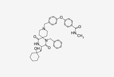 CNC(=O)c1ccc(Oc2ccc(CN3CCC4(CC3)C(=O)N[C@H](CC3(O)CCCCC3)C(=O)N4Cc3ccccc3)cc2)cc1